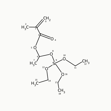 C=C(C)C(=O)OC(C)O[Si](OCC)(OCC)OCC